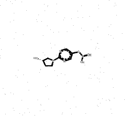 OB(O)Oc1cnc(N2CC[C@H](O)C2)nc1